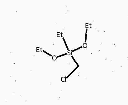 CCO[Si](CC)(CCl)OCC